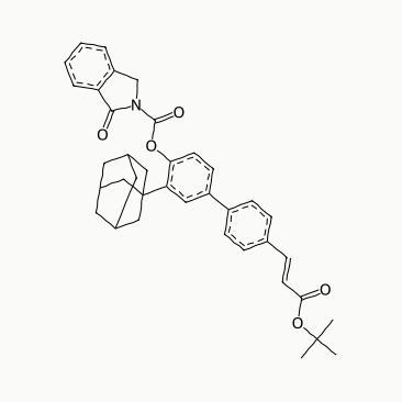 CC(C)(C)OC(=O)C=Cc1ccc(-c2ccc(OC(=O)N3Cc4ccccc4C3=O)c(C34CC5CC(CC(C5)C3)C4)c2)cc1